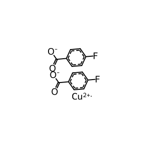 O=C([O-])c1ccc(F)cc1.O=C([O-])c1ccc(F)cc1.[Cu+2]